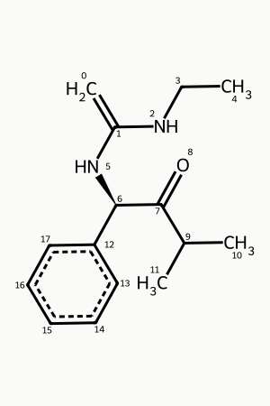 C=C(NCC)N[C@@H](C(=O)C(C)C)c1ccccc1